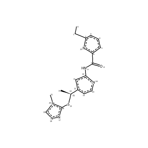 CCc1cccc(C(=O)Nc2cc([C@H](C)Sc3nncn3C)ccn2)n1